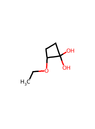 CCOC1CCC1(O)O